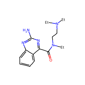 CCN(CC)CCN(CC)C(=O)c1nc(N)nc2ccccc12